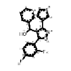 OC(c1cccnc1)c1c(-c2ccsc2)noc1-c1ccc(F)cc1F